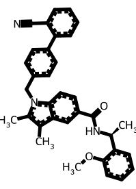 COc1ccccc1[C@H](C)NC(=O)c1ccc2c(c1)c(C)c(C)n2Cc1ccc(-c2ccccc2C#N)cc1